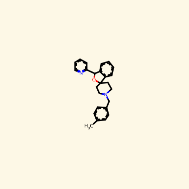 Cc1ccc(CN2CCC3(CC2)OC(c2ccccn2)c2ccccc23)cc1